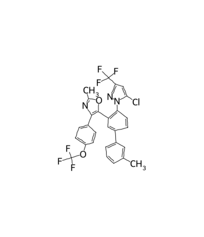 Cc1cccc(-c2ccc(-n3nc(C(F)(F)F)cc3Cl)c(-c3oc(C)nc3-c3ccc(OC(F)(F)F)cc3)c2)c1